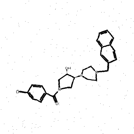 O=C(c1ccc(Cl)cc1)N1C[C@H](O)[C@@H](N2CCN(Cc3ccc4ccccc4c3)CC2)C1